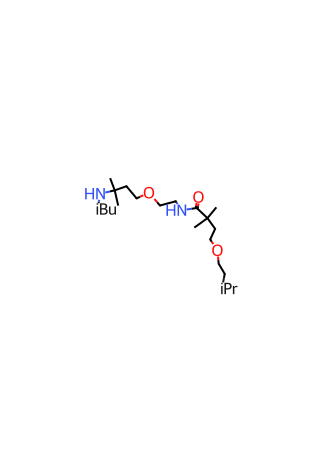 CCC(C)NC(C)(C)CCOCCNC(=O)C(C)(C)CCOCCC(C)C